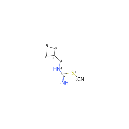 N#CSC(=N)NCC1CCC1